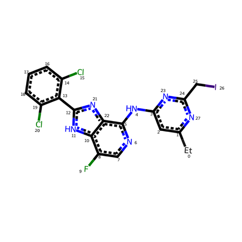 CCc1cc(Nc2ncc(F)c3[nH]c(-c4c(Cl)cccc4Cl)nc23)nc(CI)n1